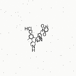 Cc1cc(Cl)cc(-c2ncnn3cc(Cn4c(=O)ccn(C)c4=O)cc23)c1C1=CCNCC1.Cl